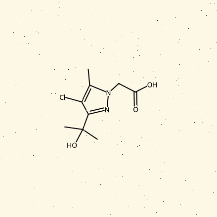 Cc1c(Cl)c(C(C)(C)O)nn1CC(=O)O